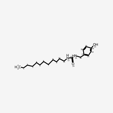 CCCCCCCCCCCCNC(=O)NCc1ccc(O)cc1